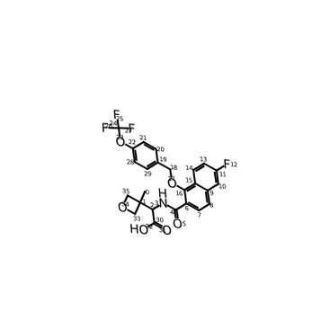 CC1(C(NC(=O)c2ccc3cc(F)ccc3c2OCc2ccc(OC(F)(F)F)cc2)C(=O)O)COC1